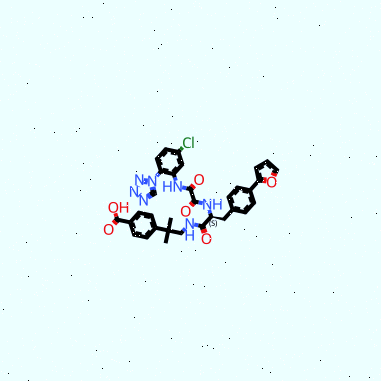 CC(C)(CNC(=O)[C@H](Cc1ccc(-c2ccco2)cc1)NC(=O)C(=O)Nc1cc(Cl)ccc1-n1cnnn1)c1ccc(C(=O)O)cc1